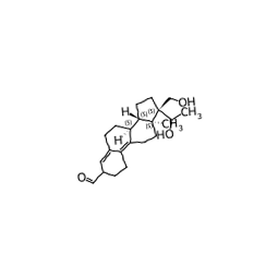 CC(O)[C@@]1(CO)CC[C@H]2[C@@H]3CCC4=CC(C=O)CCC4=C3CC[C@@]21C